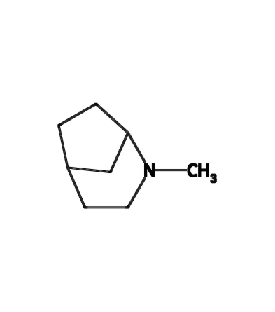 CN1CCC2CCC1C2